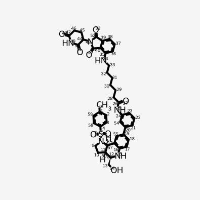 Cc1ccc(S(=O)(=O)N2CC[C@@H]3[C@H](CO)Nc4ccc(-c5cccc(NC(=O)CCCCCCNc6cccc7c6C(=O)N(C6CCC(=O)NC6=O)C7=O)c5)cc4[C@@H]32)cc1